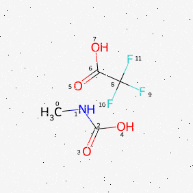 CNC(=O)O.O=C(O)C(F)(F)F